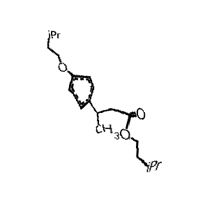 CC(C)CCOC(=O)CC(C)c1ccc(OCCC(C)C)cc1